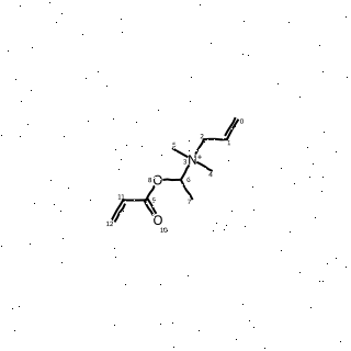 C=CC[N+](C)(C)C(C)OC(=O)C=C